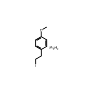 COc1ccc(CCI)cc1.[MgH2]